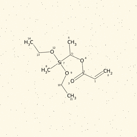 C=CC(=O)OC(C)[Si](C)(OCC)OCC